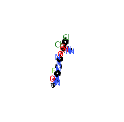 CC[C@H](C)n1ncn(-c2ccc(N3CCN(c4ccc(OC[C@@H]5CO[C@@](Cn6cncn6)(c6ccc(Cl)cc6Cl)O5)nc4)CC3)c(F)c2)c1=O